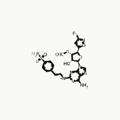 CCc1cc([C@H]2O[C@@H](n3cnc4c(N)nc(NCCc5ccc(S(N)(=O)=O)cc5)nc43)[C@H](O)[C@@H]2OC=O)on1